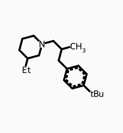 CCC1CCCN(CC(C)Cc2ccc(C(C)(C)C)cc2)C1